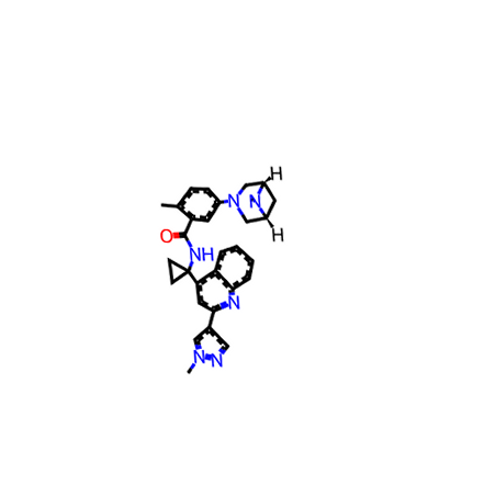 Cc1ccc(N2C[C@H]3C[C@@H](C2)N3C)cc1C(=O)NC1(c2cc(-c3cnn(C)c3)nc3ccccc23)CC1